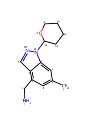 NCc1cc(C(F)(F)F)cc2c1cnn2C1CCCCO1